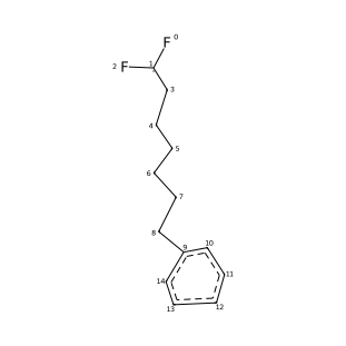 F[C](F)CCCCCCc1ccccc1